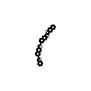 c1ccc2cc3c(cc2c1)sc1c2cc4ccc(-c5cc6cc7ccc(-c8cc9ccccc9s8)cc7cc6s5)cc4cc2sc31